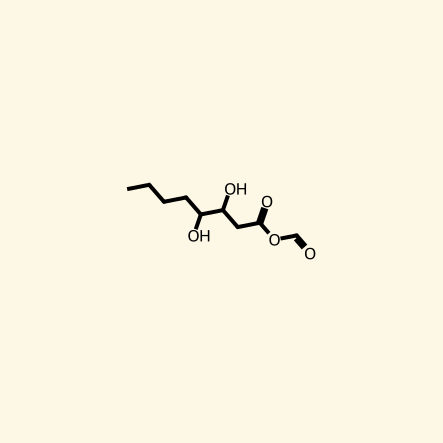 CCCCC(O)C(O)CC(=O)OC=O